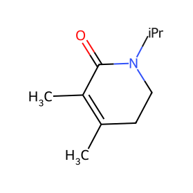 CC1=C(C)C(=O)N(C(C)C)CC1